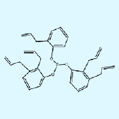 C=CCc1ccccc1OP(Oc1cccc(CC=C)c1CC=C)Oc1cccc(CC=C)c1CC=C